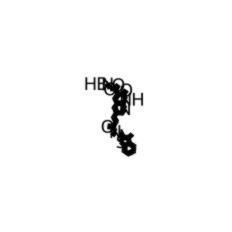 B=NOC(=O)c1cc2cc(/C=C/C(=O)N(C)Cc3sc4ccccc4c3C)cnc2[nH]c1=O